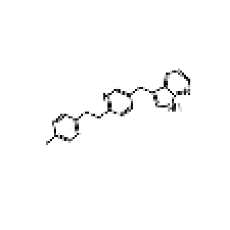 Cc1ccc(CCc2ccc(Cc3c[nH]c4ncccc34)cn2)cc1